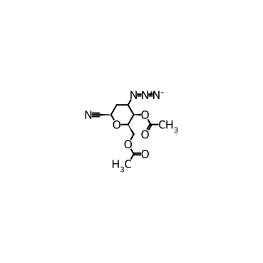 CC(=O)OC[C@H]1O[C@@H](C#N)CC(N=[N+]=[N-])[C@H]1OC(C)=O